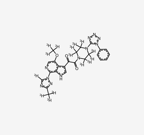 [2H]c1nc(C([2H])([2H])[2H])nn1-c1ncc(OC([2H])([2H])[2H])c2c(C(=O)C(=O)N3C([2H])([2H])C([2H])([2H])N(c4nnnn4-c4ccccc4)C([2H])([2H])C3([2H])[2H])c[nH]c12